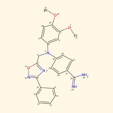 CCOc1cc(N(Cc2nc(-c3ccccc3)no2)c2ccc(C(=N)N)cc2)ccc1OC(C)C